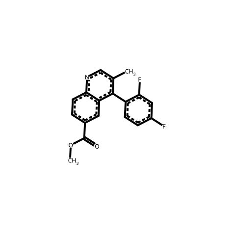 COC(=O)c1ccc2ncc(C)c(-c3ccc(F)cc3F)c2c1